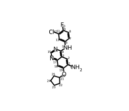 Nc1cc2c(Nc3ccc(F)c(Cl)c3)ncnc2cc1OC1CCCC1